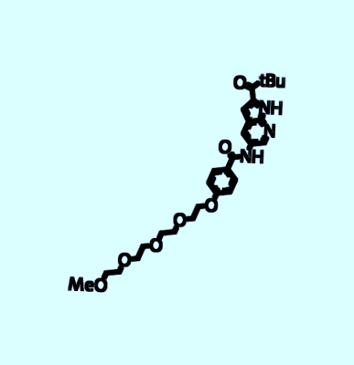 COCCOCCOCCOCCOc1ccc(C(=O)Nc2cnc3[nH]c(C(=O)C(C)(C)C)cc3c2)cc1